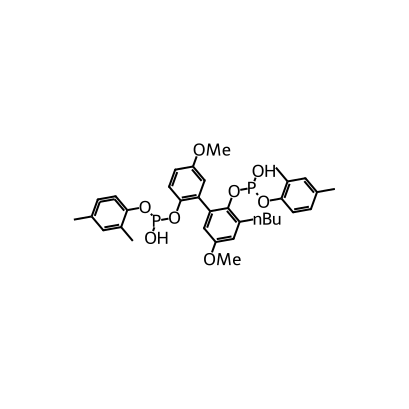 CCCCc1cc(OC)cc(-c2cc(OC)ccc2OP(O)OC2=C=C=C(C)C=C2C)c1OP(O)Oc1ccc(C)cc1C